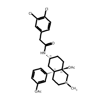 CC(=O)Oc1cccc([C@@]23CCN(C)C[C@@]2(OC(C)=O)CC[C@@H](NC(=O)Cc2ccc(Cl)c(Cl)c2)C3)c1